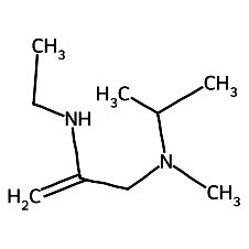 C=C(CN(C)C(C)C)NCC